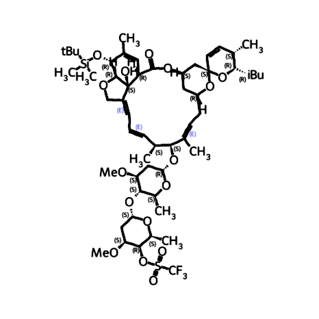 CC[C@@H](C)[C@H]1O[C@]2(C=C[C@@H]1C)C[C@@H]1C[C@@H](C/C=C(\C)[C@@H](O[C@H]3C[C@H](OC)[C@@H](O[C@H]4C[C@H](OC)[C@H](OS(=O)(=O)C(F)(F)F)[C@H](C)O4)[C@H](C)O3)[C@@H](C)/C=C/C=C3\CO[C@@H]4[C@H](O[Si](C)(C)C(C)(C)C)C(C)=C[C@@H](C(=O)O1)[C@]34O)O2